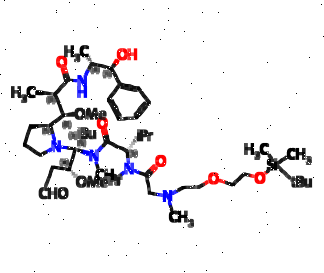 CC[C@H](C)[C@@]([C@@H](CC=O)OC)(N(C)C(=O)[C@H](C(C)C)N(C(=O)CN(C)CCOCCO[Si](C)(C)C(C)(C)C)C(C)C)N1CCC[C@H]1[C@H](OC)[C@@H](C)C(=O)N[C@H](C)[C@@H](O)c1ccccc1